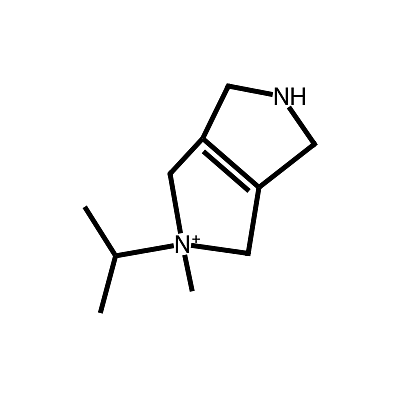 CC(C)[N+]1(C)CC2=C(CNC2)C1